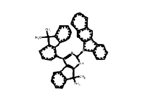 CC1(C)C2=C(C(c3cccc4c3-c3ccccc3C4(C)C)=NC(n3c4ccccc4c4cc5ccccc5cc43)N2)c2ccccc21